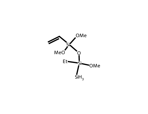 C=C[Si](OC)(OC)O[Si]([SiH3])(CC)OC